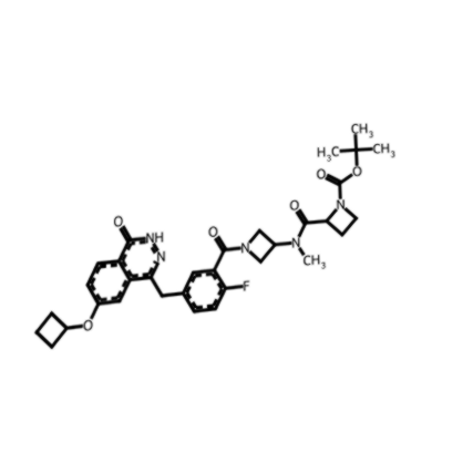 CN(C(=O)C1CCN1C(=O)OC(C)(C)C)C1CN(C(=O)c2cc(Cc3n[nH]c(=O)c4ccc(OC5CCC5)cc34)ccc2F)C1